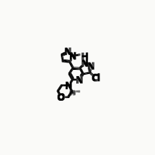 C[C@@H]1COCCN1c1cc(-c2ccnn2C)c2[nH]nc(Cl)c2n1